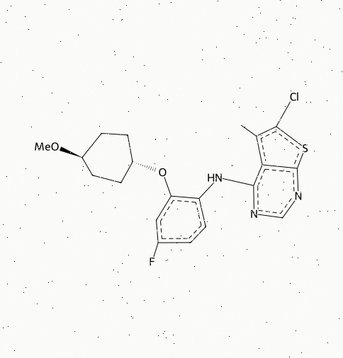 CO[C@H]1CC[C@H](Oc2cc(F)ccc2Nc2ncnc3sc(Cl)c(C)c23)CC1